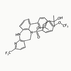 Cc1nc(-c2cccc3c2N(S(=O)(=O)c2ccc(OC(F)(F)F)cc2)Cc2ccc(C(F)(F)F)nc2N3)ccc1C(C)(C)O